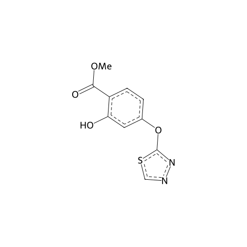 COC(=O)c1ccc(Oc2nncs2)cc1O